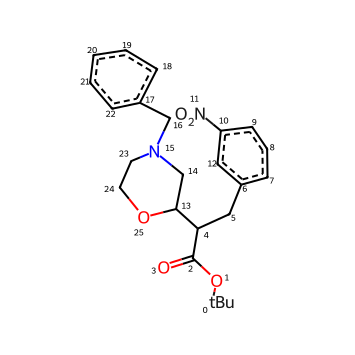 CC(C)(C)OC(=O)C(Cc1cccc([N+](=O)[O-])c1)C1CN(Cc2ccccc2)CCO1